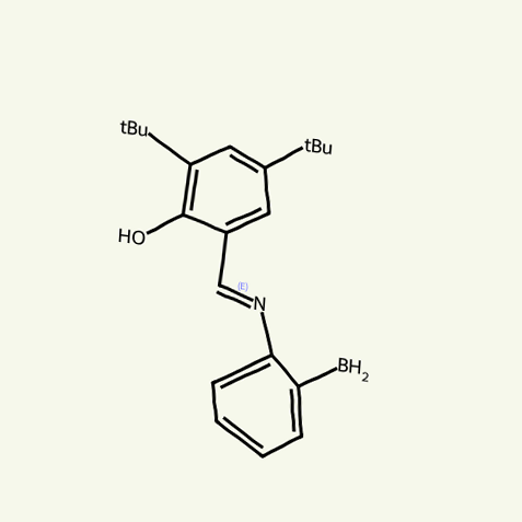 Bc1ccccc1/N=C/c1cc(C(C)(C)C)cc(C(C)(C)C)c1O